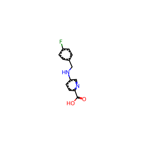 O=C(O)c1ccc(NCc2ccc(F)cc2)cn1